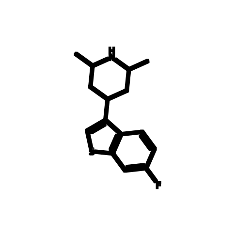 CC1CC(c2csc3cc(F)ccc23)CC(C)N1